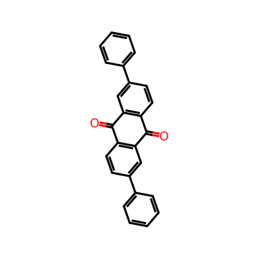 O=C1c2ccc(-c3ccccc3)cc2C(=O)c2ccc(-c3ccccc3)cc21